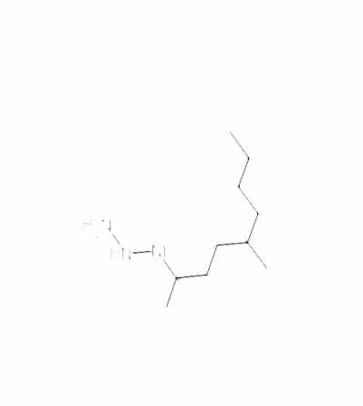 CCCCC(C)CCC(C)NNN